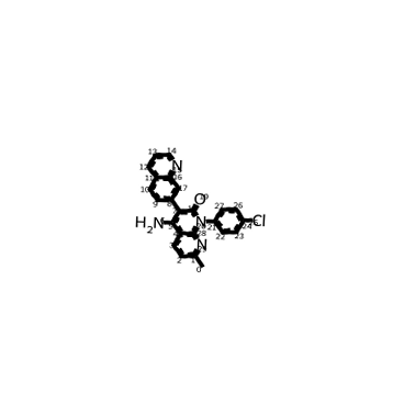 Cc1ccc2c(N)c(-c3ccc4cccnc4c3)c(=O)n(-c3ccc(Cl)cc3)c2n1